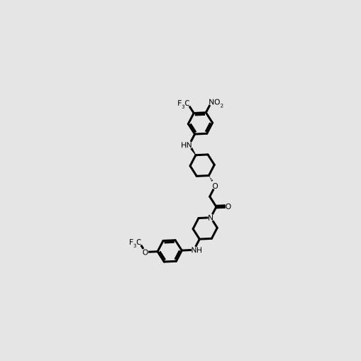 O=C(CO[C@H]1CC[C@H](Nc2ccc([N+](=O)[O-])c(C(F)(F)F)c2)CC1)N1CCC(Nc2ccc(OC(F)(F)F)cc2)CC1